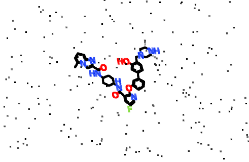 Cc1cccc2nc(C(=O)NC3CCC(NC(=O)c4cc(F)cnc4Oc4cccc(-c5ccc(CN6C[C@@H](C)N[C@@H](C)C6)c(O)c5)c4)CC3)cn12